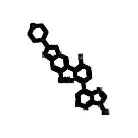 CCn1cnc2c(-c3ccc(F)c(-c4cn5cc(C6CCOCC6)nc5cc4OC)c3)cnnc21